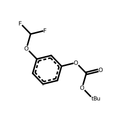 CC(C)(C)OC(=O)Oc1c[c]cc(OC(F)F)c1